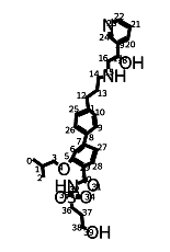 CC(C)COc1cc(-c2ccc(CCCNC[C@H](O)c3cccnc3)cc2)ccc1C(=O)NS(=O)(=O)CCCO